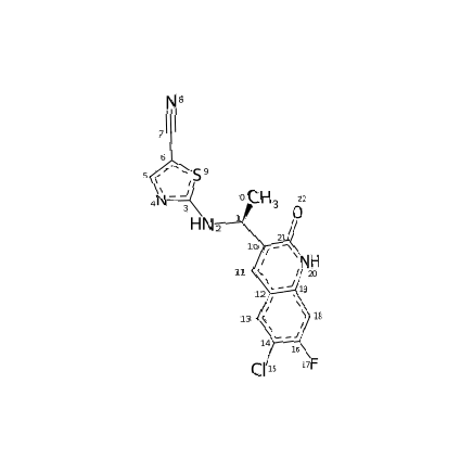 C[C@H](Nc1ncc(C#N)s1)c1cc2cc(Cl)c(F)cc2[nH]c1=O